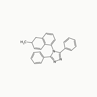 CC1C=Cc2c(cccc2-n2c(-c3ccccc3)nnc2-c2ccccc2)C1